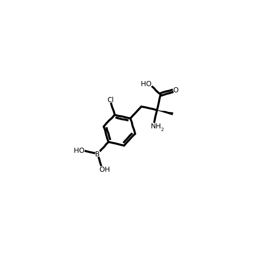 C[C@@](N)(Cc1ccc(B(O)O)cc1Cl)C(=O)O